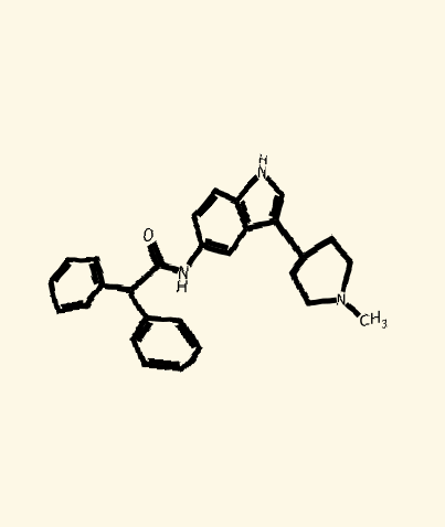 CN1CCC(c2c[nH]c3ccc(NC(=O)C(c4ccccc4)c4ccccc4)cc23)CC1